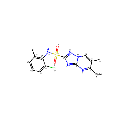 COc1nc2nc(S(=O)(=O)Nc3c(C)cccc3Cl)nn2cc1C